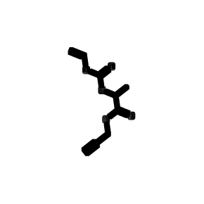 C#CCOC(=O)C(C)OC(=O)OC=C